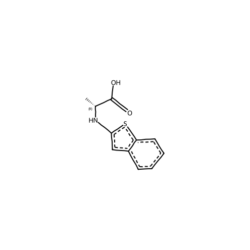 C[C@@H](Nc1cc2ccccc2s1)C(=O)O